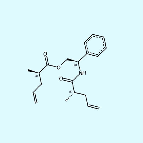 C=CC[C@@H](C)C(=O)OC[C@H](NC(=O)[C@@H](C)CC=C)c1ccccc1